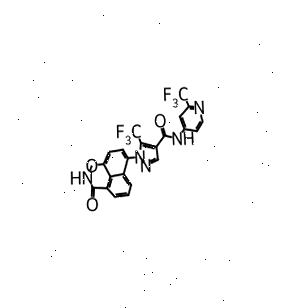 O=C(Nc1ccnc(C(F)(F)F)c1)c1cnn(-c2ccc3c4c(cccc24)C(=O)NO3)c1C(F)(F)F